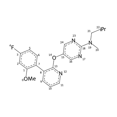 COc1cc(F)ccc1-c1cccnc1Oc1cnc(N(C)CC(C)C)nc1